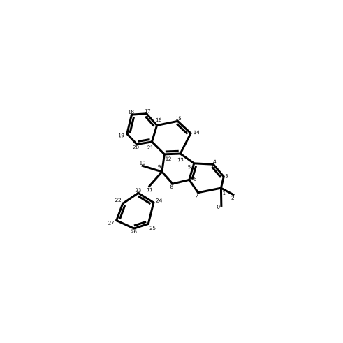 CC1(C)C=CC2=C(C1)CC(C)(C)c1c2ccc2ccccc12.c1ccccc1